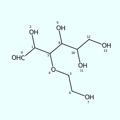 O=CC(O)C(OCCO)C(O)C(O)CO